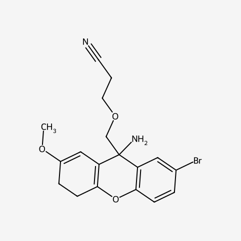 COC1=CC2=C(CC1)Oc1ccc(Br)cc1C2(N)COCCC#N